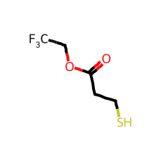 O=C(CCS)OCC(F)(F)F